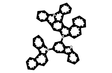 c1ccc2c(c1)ccc1c2c2ccccc2n1-c1cc(-n2c3ccc4ccccc4c3c3c4c5ccccc5n5c6ccccc6c(cc32)c45)c2oc3ccccc3c2c1